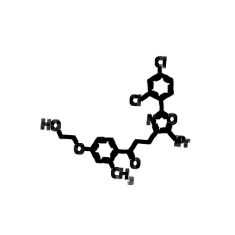 Cc1cc(OCCO)ccc1C(=O)CCc1nc(-c2ccc(Cl)cc2Cl)oc1C(C)C